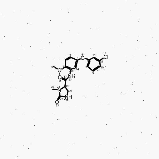 COc1ccc(Oc2cccc(Cl)c2)cc1NC(=O)C1CNC(=O)N1C